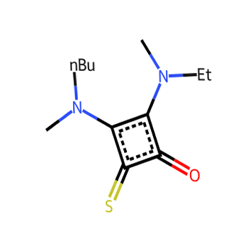 CCCCN(C)c1c(N(C)CC)c(=O)c1=S